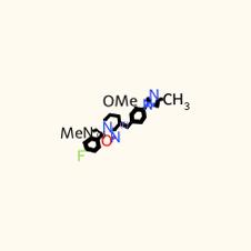 CNC[C@]1(c2ccc(F)cc2)ON=C2/C(=C/c3ccc(-n4cnc(C)c4)c(OC)c3)CCCN21